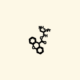 CCCC(CN)POC(=O)C1c2ccccc2Oc2ccccc21